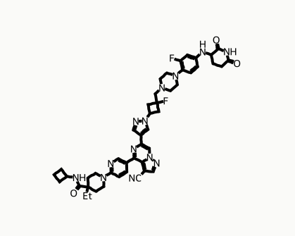 CCC1(C(=O)NC2CCC2)CCN(c2ccc(-c3nc(-c4cnn(C5CC(F)(CN6CCN(c7ccc(NC8CCC(=O)NC8=O)cc7F)CC6)C5)c4)cn4ncc(C#N)c34)cn2)CC1